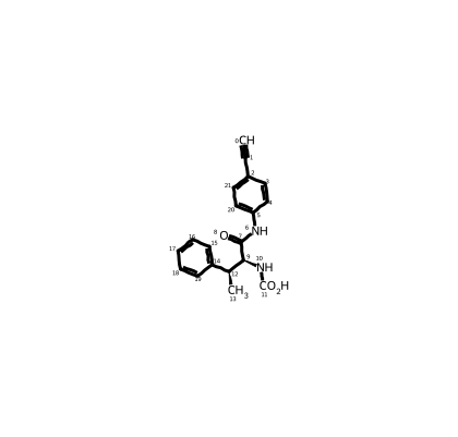 C#Cc1ccc(NC(=O)[C@@H](NC(=O)O)[C@@H](C)c2ccccc2)cc1